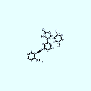 Cc1ccccc1C#Cc1cncc([C@H]2NC(=O)O[C@@H]2c2cc(F)ccc2F)c1